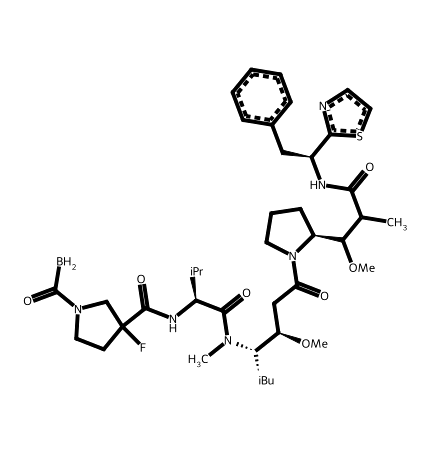 BC(=O)N1CCC(F)(C(=O)N[C@H](C(=O)N(C)[C@@H]([C@@H](C)CC)[C@@H](CC(=O)N2CCC[C@H]2C(OC)C(C)C(=O)N[C@@H](Cc2ccccc2)c2nccs2)OC)C(C)C)C1